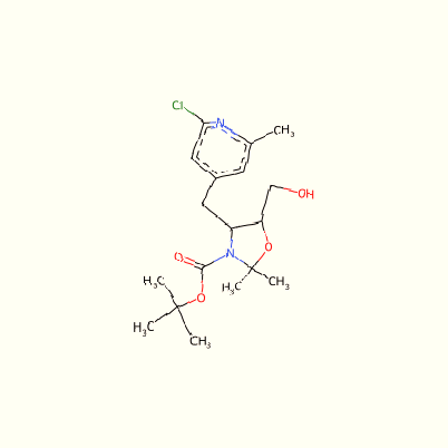 Cc1cc(CC2C(CO)OC(C)(C)N2C(=O)OC(C)(C)C)cc(Cl)n1